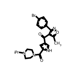 Cc1onc(-c2ccc(Br)cc2)c1C(=O)c1c[nH]c(C(=O)N2CCN(C(C)C)CC2)c1